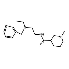 CCN(CCNC(=O)C1CCCN(C)C1)Cc1ccccc1